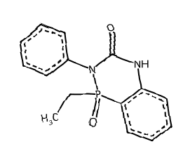 CCP1(=O)c2ccccc2NC(=O)N1c1ccccc1